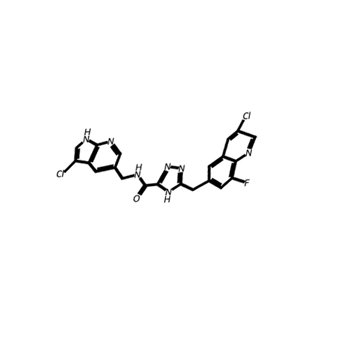 O=C(NCc1cnc2[nH]cc(Cl)c2c1)c1nnc(Cc2cc(F)c3ncc(Cl)cc3c2)[nH]1